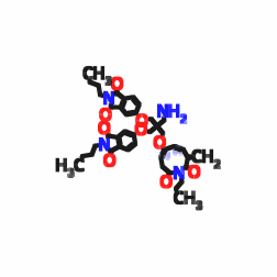 C=C1/C=C\C(OCC(CN)(COc2ccc3c(c2)C(=O)N(CCCC)C3=O)COc2ccc3c(c2)C(=O)N(CCCC)C3=O)=C/CC(=O)N(CCC)C1=O